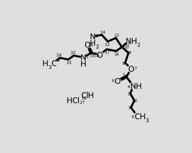 CCCCNC(=O)OCCC(N)(CCCN)CCOC(=O)NCCCC.Cl.Cl